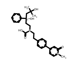 Cn1ccc(-c2ccc(CCN(CC[C@](O)(CC(C)(C)O)c3ccccc3)C(=O)O)cc2)cc1=O